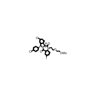 COCCOCCN1C(=O)[C@@H]2c3ccc(Cl)cc3[C@H](c3ccc(Cl)cc3)N2C(=O)c2cc(I)ccc21